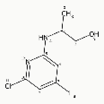 CC(CO)Nc1cc(I)cc(Cl)n1